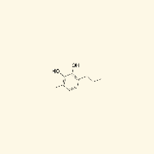 CCCc1ccc(C)c(O)c1O